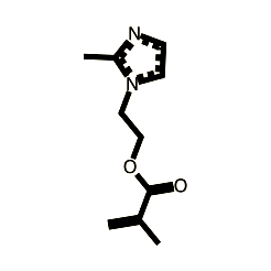 C=C(C)C(=O)OCCn1ccnc1C